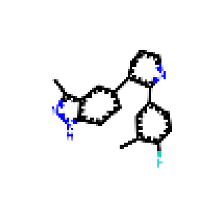 Cc1cc(-c2ncccc2-c2ccc3[nH]nc(C)c3c2)ccc1F